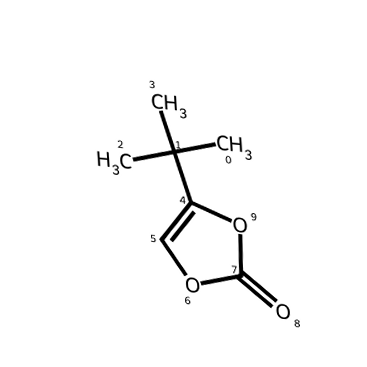 CC(C)(C)c1coc(=O)o1